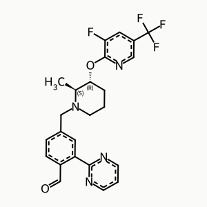 C[C@H]1[C@H](Oc2ncc(C(F)(F)F)cc2F)CCCN1Cc1ccc(C=O)c(-c2ncccn2)c1